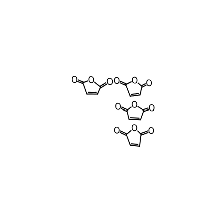 O=C1C=CC(=O)O1.O=C1C=CC(=O)O1.O=C1C=CC(=O)O1.O=C1C=CC(=O)O1